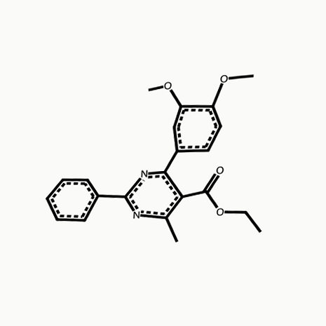 CCOC(=O)c1c(C)nc(-c2ccccc2)nc1-c1ccc(OC)c(OC)c1